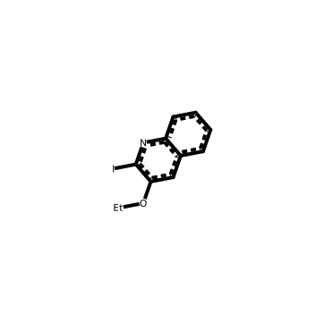 CCOc1cc2ccccc2nc1I